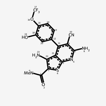 CNC(=O)c1sc2nc(N)c(C#N)c(-c3ccc(OC(F)(F)F)c(O)c3)c2c1N